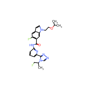 CC(C)OCCn1ccc2cc(F)c(C(=O)Nc3cccc(-c4nncn4C(C)CF)n3)cc21